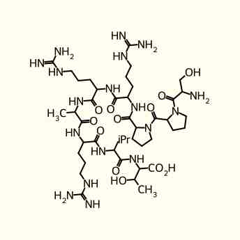 CC(NC(=O)C(CCCNC(=N)N)NC(=O)C(CCCNC(=N)N)NC(=O)C1CCCN1C(=O)C1CCCN1C(=O)C(N)CO)C(=O)NC(CCCNC(=N)N)C(=O)NC(C(=O)NC(C(=O)O)C(C)O)C(C)C